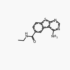 CCNC(=O)c1ccc2sc3ncnc(N)c3c2c1